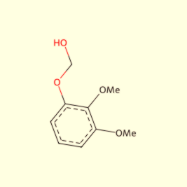 COc1cccc(OCO)c1OC